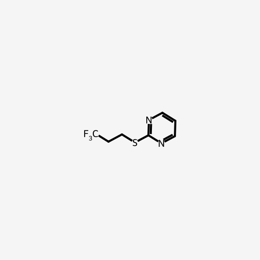 FC(F)(F)CCSc1ncccn1